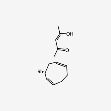 C1=C\CC/C=C\CC/1.CC(=O)/C=C(/C)O.[Rh]